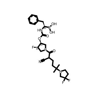 CC(C)(CCC(C#N)C(=O)N1C[C@@H](F)[C@@H](OC(=O)N[C@@H](Cc2ccccc2)B(O)O)C1)N1CCC(F)(F)C1